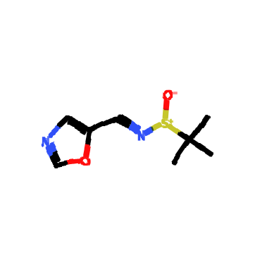 CC(C)(C)[S+]([O-])N=Cc1cnco1